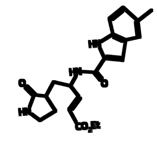 CCOC(=O)/C=C/C(CC1CCNC1=O)NC(=O)c1cc2cc(C)ccc2[nH]1